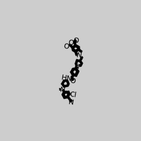 CN(c1ccc(C#N)c(Cl)c1)[C@H]1CC[C@H](NC(=O)c2ccc(N3CCC(CN4Cc5cc6c(cc5C4)C(=O)OC6=O)CC3)cc2)CC1